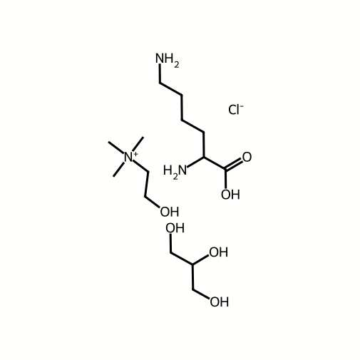 C[N+](C)(C)CCO.NCCCCC(N)C(=O)O.OCC(O)CO.[Cl-]